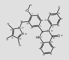 COc1ccc(C2Nc3ccccc3C(=O)N2c2ccc(C)cc2)cc1Cn1nc(C)c(C)c1C